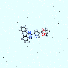 CC1(C)OB(c2ccc(-c3nc(-c4ccccc4)c4ccccc4n3)nc2)OC1(C)C